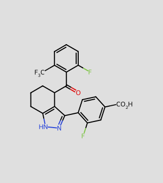 O=C(O)c1ccc(-c2n[nH]c3c2C(C(=O)c2c(F)cccc2C(F)(F)F)CCC3)c(F)c1